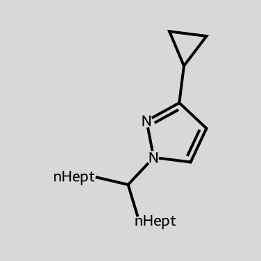 CCCCCCCC(CCCCCCC)n1ccc(C2CC2)n1